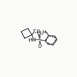 Cc1ccccc1S(=O)(=O)NC1(C(=O)O)CCC1